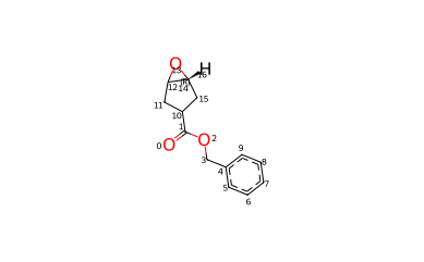 O=C(OCc1ccccc1)C1CC2O[C@@H]2C1